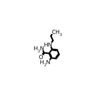 CCCNc1cccc(N)c1C(N)=O